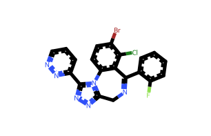 Fc1ccccc1C1=NCc2nnc(-c3cccnn3)n2-c2ccc(Br)c(Cl)c21